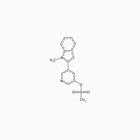 Cn1c(-c2cncc(OS(C)(=O)=O)c2)cc2ccccc21